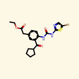 CCOC(=O)Cc1ccc(NC(=O)Nc2ncc(Br)s2)c(C(=O)C2CCCC2)c1